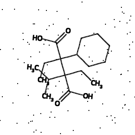 CCC(C(=O)O)(C(C)C)C(CC)(C(=O)O)C1CCCCC1